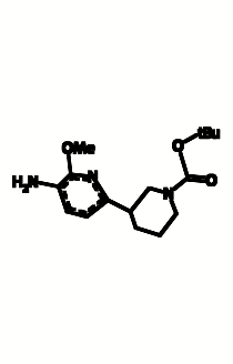 COc1nc(C2CCCN(C(=O)OC(C)(C)C)C2)ccc1N